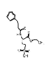 CCOC(=O)[C@H](CCS(=O)(=O)O)NC(=O)CCc1ccccc1